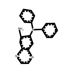 Nc1cc2nccnc2cc1N(c1ccccc1)c1ccccc1